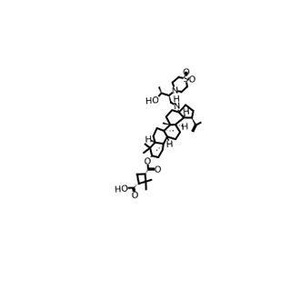 C=C(C)[C@@H]1CC[C@]2(NC[C@@H]([C@H](C)O)N3CCS(=O)(=O)CC3)CC[C@]3(C)[C@H](CC[C@@H]4[C@@]5(C)CC[C@H](OC(=O)[C@H]6C[C@@H](C(=O)O)C6(C)C)C(C)(C)[C@@H]5CC[C@]43C)[C@@H]12